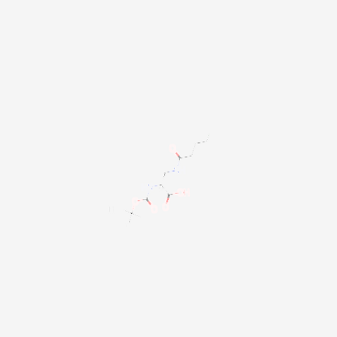 CC(C)(C)OC(=O)N[C@@H](CNC(=O)CCCCl)C(=O)O